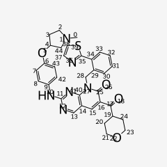 CN1CCC(Oc2ccc(Nc3ncc4cc(C(=O)C5CCOCC5)c(=O)n(Cc5ccccc5-c5nccs5)c4n3)cc2)C1